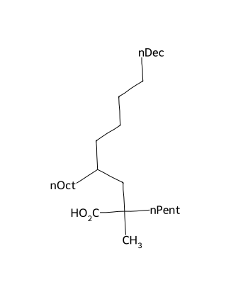 CCCCCCCCCCCCCCC(CCCCCCCC)CC(C)(CCCCC)C(=O)O